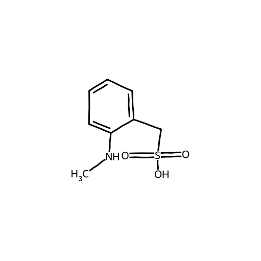 CNc1ccccc1CS(=O)(=O)O